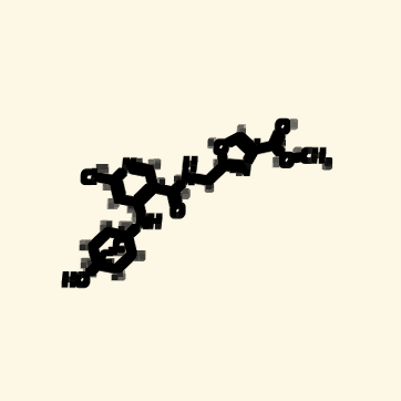 COC(=O)c1coc(CNC(=O)c2cnc(Cl)cc2NC23CCC(O)(CC2)CC3)n1